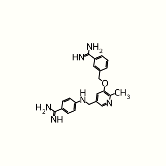 Cc1ncc(CNc2ccc(C(=N)N)cc2)cc1OCc1cccc(C(=N)N)c1